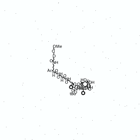 COCCOCCOCCC(=O)NCCCCC(NC(=O)CNC(=O)CNC(=O)CNC(=O)CCCC(=O)O[C@H](C(=O)O[C@H]1C[C@@]2(O)[C@H](OC(=O)c3ccccc3)[C@@H]3[C@]4(OC(C)=O)CO[C@@H]4C[C@H](O)[C@@]3(C)C(=O)C(O)C(=C1C)C2(C)C)[C@@H](NC(=O)OC(C)(C)C)c1ccccc1)C(C)=O